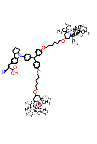 CC1(C)CC(OCCCCCCOc2ccc(C(c3ccc(OCCCCCCOC4CC(C)(C)N(O[Si](C)(C)C(C)(C)C)C(C)(C)C4)cc3)c3ccc(N4c5ccc(/C=C(/C#N)C(=O)O)cc5C5CCCC54)cc3)cc2)CC(C)(C)N1O[Si](C)(C)C(C)(C)C